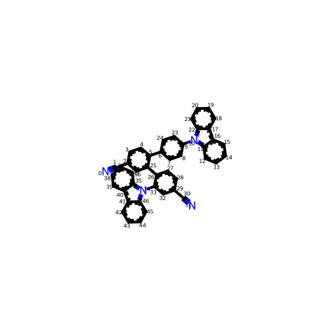 N#Cc1ccc(-c2ccc(-n3c4ccccc4c4ccccc43)cc2)c(-c2ccc(C#N)cc2-n2c3ccccc3c3ccccc32)c1